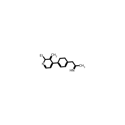 C=C1C(C2=CC=C(CC(C)=N)CC2)=CC=NC1CC